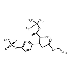 CCOC(=O)CC(c1ccc(OS(C)(=O)=O)cc1)C(N)C(=O)OC(C)(C)C